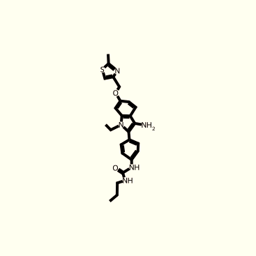 CCCNC(=O)Nc1ccc(-c2c(N)c3ccc(OCc4csc(C)n4)cc3n2CC)cc1